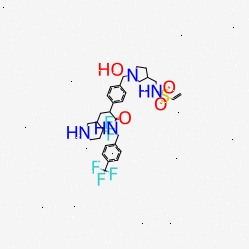 C=CS(=O)(=O)NCC1CCN(C(O)c2ccc(C(CC3CNCCC3(F)F)C(=O)NCc3ccc(C(F)(F)F)cc3)cc2)C1